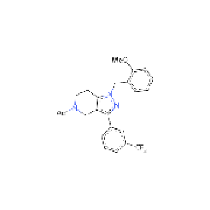 COc1ccccc1Cn1nc(-c2cccc(C(F)(F)F)c2)c2c1CCN(C(C)=O)C2